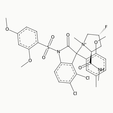 CNC(=O)[C@@H]1C[C@@H](F)C[N+]1(C)C1(c2cc(C)ccc2OC)C(=O)N(S(=O)(=O)c2ccc(OC)cc2OC)c2ccc(Cl)c(Cl)c21